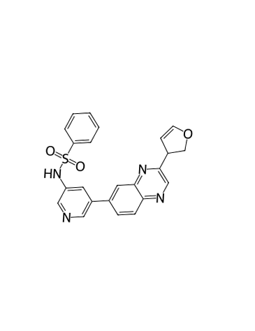 O=S(=O)(Nc1cncc(-c2ccc3ncc(C4C=COC4)nc3c2)c1)c1ccccc1